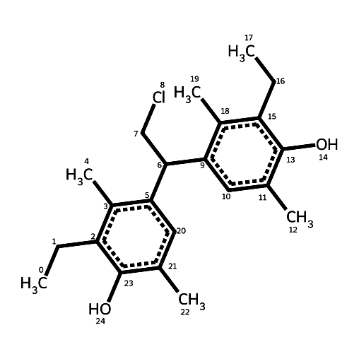 CCc1c(C)c(C(CCl)c2cc(C)c(O)c(CC)c2C)cc(C)c1O